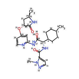 CC1CCC([C@H](NC(=O)c2ccnn2C(C)C)C(=O)Nc2cc(O[C@@H]3C[C@@H](C(F)(F)F)NC3=O)ccn2)CC1